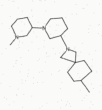 CC1CCC2(CC1)CN(C1CCCN(C3CCCN(C)C3)C1)C2